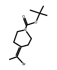 CC(Br)=C1CCN(C(=O)OC(C)(C)C)CC1